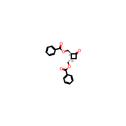 O=C(OC[C@H]1CC(=O)[C@@H]1COC(=O)c1ccccc1)c1ccccc1